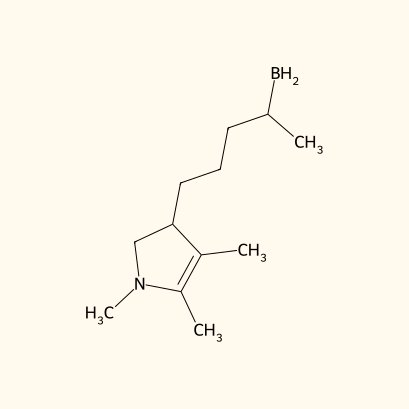 BC(C)CCCC1CN(C)C(C)=C1C